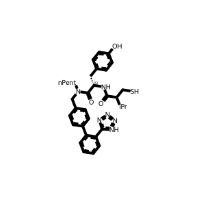 CCCCCN(Cc1ccc(-c2ccccc2-c2nnn[nH]2)cc1)C(=O)[C@H](Cc1ccc(O)cc1)NC(=O)C(CS)C(C)C